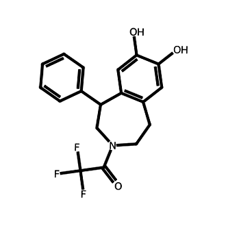 O=C(N1CCc2cc(O)c(O)cc2C(c2ccccc2)C1)C(F)(F)F